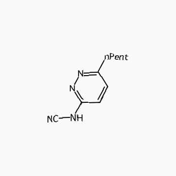 CCCCCc1ccc(NC#N)nn1